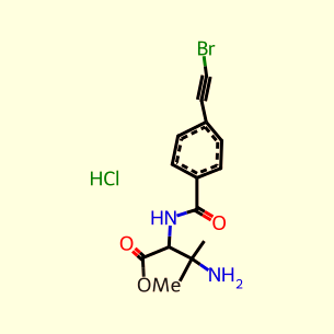 COC(=O)C(NC(=O)c1ccc(C#CBr)cc1)C(C)(C)N.Cl